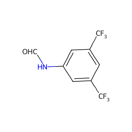 O=CNc1cc(C(F)(F)F)cc(C(F)(F)F)c1